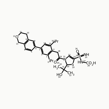 CC(C)c1cc(-c2ccc3c(c2)CCOC3)cc(C(C)C)c1CC(=O)N1C=C(S(=N)(=O)NC(=O)O)SC1C(C)(C)O